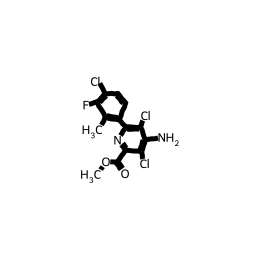 COC(=O)c1nc(-c2ccc(Cl)c(F)c2C)c(Cl)c(N)c1Cl